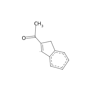 CC(=O)C1=[C]c2ccccc2C1